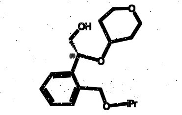 CC(C)OCc1ccccc1[C@H](CO)OC1CCOCC1